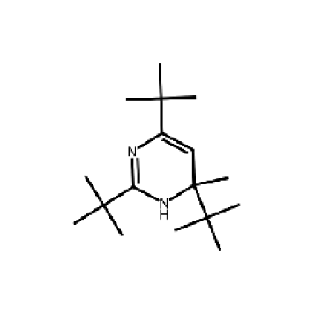 CC(C)(C)C1=CC(C)(C(C)(C)C)NC(C(C)(C)C)=N1